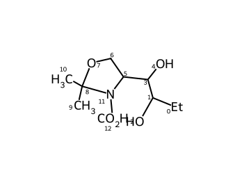 CCC(O)C(O)C1COC(C)(C)N1C(=O)O